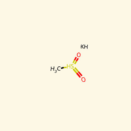 C[SH](=O)=O.[KH]